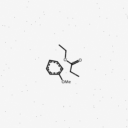 CCOC(=O)CC.COc1ccccc1